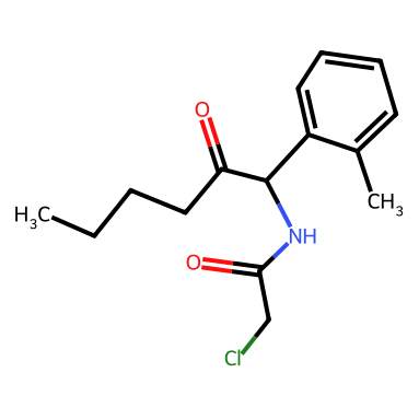 CCCCC(=O)C(NC(=O)CCl)c1ccccc1C